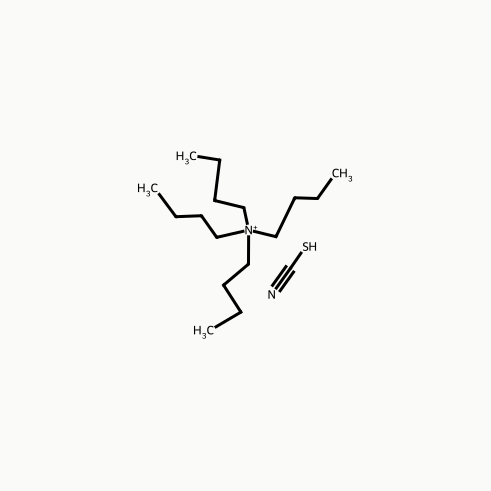 CCCC[N+](CCCC)(CCCC)CCCC.N#CS